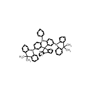 CC1(C)c2ccccc2N(c2ccc3c(c2)C2(c4cc(N5c6ccccc6C(C)(C)c6ccccc65)ccc4N3c3ccccc3)c3ncccc3-c3cccnc32)c2ccccc21